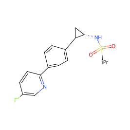 CC(C)S(=O)(=O)N[C@H]1CC1c1ccc(-c2ccc(F)cn2)cc1